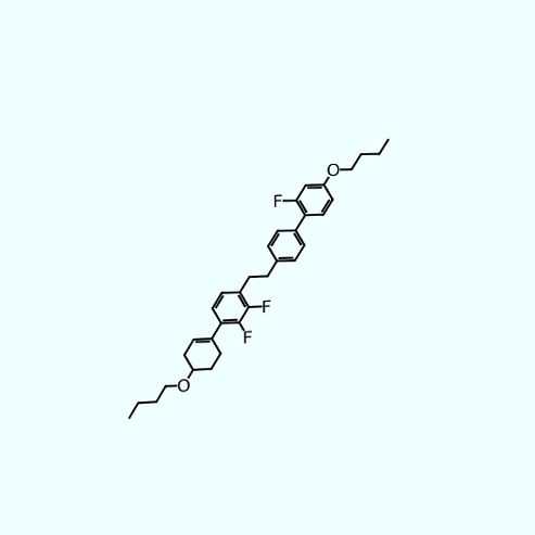 CCCCOc1ccc(-c2ccc(CCc3ccc(C4=CCC(OCCCC)CC4)c(F)c3F)cc2)c(F)c1